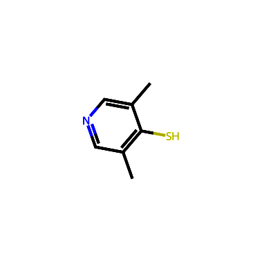 Cc1cncc(C)c1S